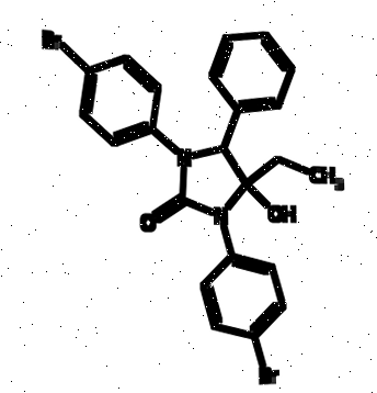 CCC1(O)C(c2ccccc2)N(c2ccc(Br)cc2)C(=O)N1c1ccc(Br)cc1